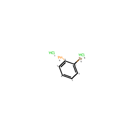 Brc1ccccc1.Cl.Cl.P